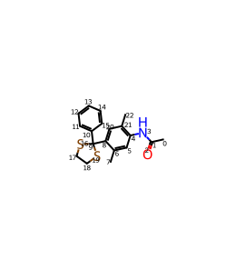 CC(=O)Nc1cc(C)c(C2(c3ccccc3)SCCS2)cc1C